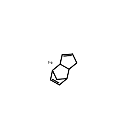 C1=CC2C3C=CC(C3)C2C1.[Fe]